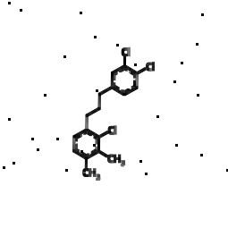 Cc1ccc(CCCc2ccc(Cl)c(Cl)c2)c(Cl)c1C